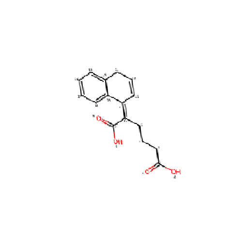 O=C(O)CCCC(C(=O)O)=C1C=CCc2ccccc21